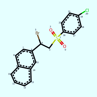 O=S(=O)(CC(Br)c1ccc2ccccc2c1)c1ccc(Cl)cc1